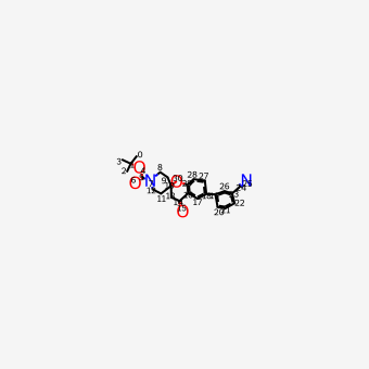 CC(C)(C)OC(=O)N1CCC2(CC1)CC(=O)c1cc(-c3cccc(C#N)c3)ccc1O2